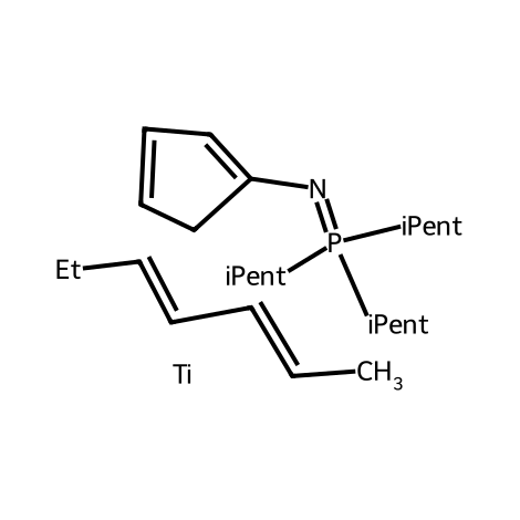 CC=CC=CCC.CCCC(C)P(=NC1=CC=CC1)(C(C)CCC)C(C)CCC.[Ti]